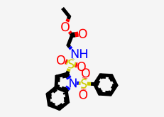 CCOC(=O)CNS(=O)(=O)c1cc2ccccc2n1S(=O)(=O)c1ccccc1